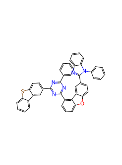 c1ccc(-c2nc(-c3ccc4sc5ccccc5c4c3)nc(-c3cccc4oc5ccc(-c6nc7ccccc7n6-c6ccccc6)cc5c34)n2)cc1